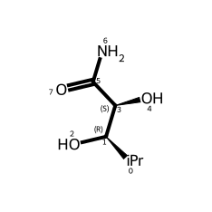 CC(C)[C@@H](O)[C@H](O)C(N)=O